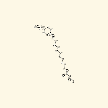 C=CC(=O)OCCCCCCCCCCCO[C@H]1CC[C@H](C(=O)O)CC1